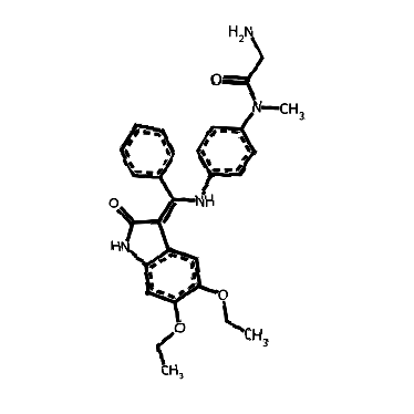 CCOc1cc2c(cc1OCC)C(=C(Nc1ccc(N(C)C(=O)CN)cc1)c1ccccc1)C(=O)N2